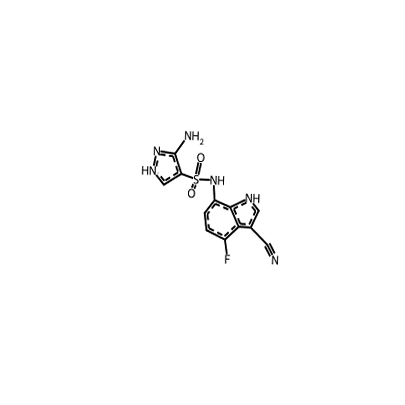 N#Cc1c[nH]c2c(NS(=O)(=O)c3c[nH]nc3N)ccc(F)c12